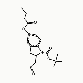 CCCC(=O)Oc1ccc2c(c1)CC(CC=O)N2C(=O)OC(C)(C)C